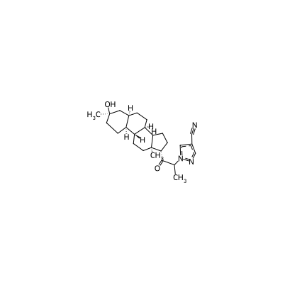 CC(C(=O)[C@H]1CC[C@H]2[C@@H]3CC[C@@H]4C[C@](C)(O)CC[C@@H]4[C@H]3CC[C@]12C)n1cc(C#N)cn1